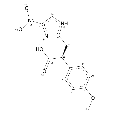 COc1ccc([C@H](Cc2nc([N+](=O)[O-])c[nH]2)C(=O)O)cc1